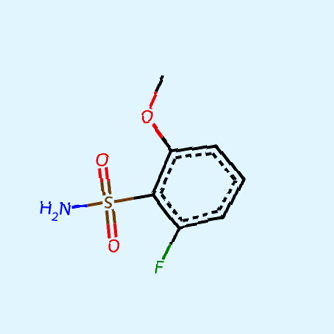 COc1cccc(F)c1S(N)(=O)=O